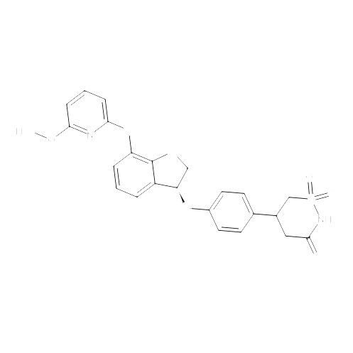 COc1cccc(Oc2cccc3c2OC[C@H]3Oc2ccc(C3CC(=O)NS(=O)(=O)C3)cc2)n1